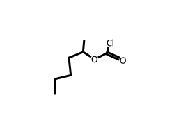 CCCCC(C)OC(=O)Cl